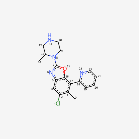 Cc1c(Cl)cc2nc(N3CCNCC3C)oc2c1-c1ccccn1